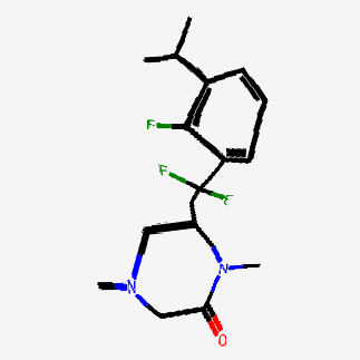 CC(C)c1cccc(C(F)(F)C2CN(C)CC(=O)N2C)c1F